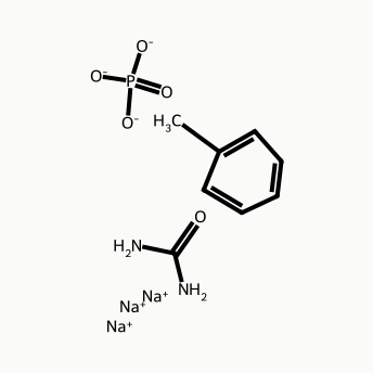 Cc1ccccc1.NC(N)=O.O=P([O-])([O-])[O-].[Na+].[Na+].[Na+]